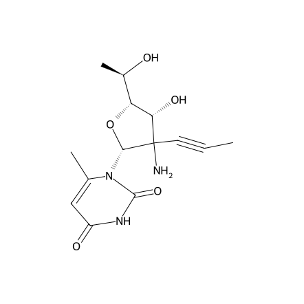 CC#CC1(N)[C@@H](O)[C@@H]([C@@H](C)O)O[C@H]1n1c(C)cc(=O)[nH]c1=O